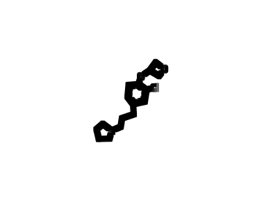 Clc1cc(CCCN2CCCC2)ccc1OC1COC1